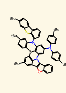 CC(C)(C)c1ccc(N(c2ccc(C(C)(C)C)cc2)c2cc3c4c(c2)-n2c5c(cc(C(C)(C)C)cc5c5oc6ccccc6c52)B4c2ccc(C(C)(C)C)cc2N3c2cccc3c2sc2cc(C(C)(C)C)ccc23)cc1